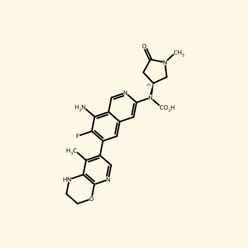 Cc1c(-c2cc3cc(N(C(=O)O)[C@H]4CC(=O)N(C)C4)ncc3c(N)c2F)cnc2c1NCCO2